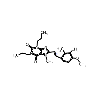 CCCn1c(=O)c2c(nc(/C=C/c3ccc(OC)c(C)c3C)n2C)n(CCC)c1=O